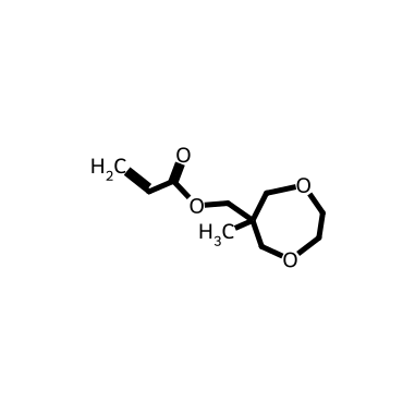 C=CC(=O)OCC1(C)COCCOC1